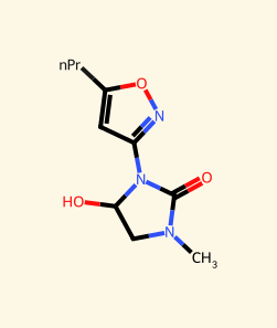 CCCc1cc(N2C(=O)N(C)CC2O)no1